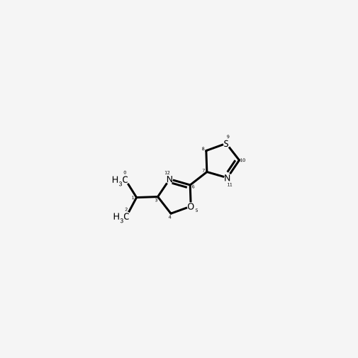 CC(C)C1COC(C2CSC=N2)=N1